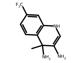 CC1(N)C(N)=CNc2cc(C(F)(F)F)ccc21